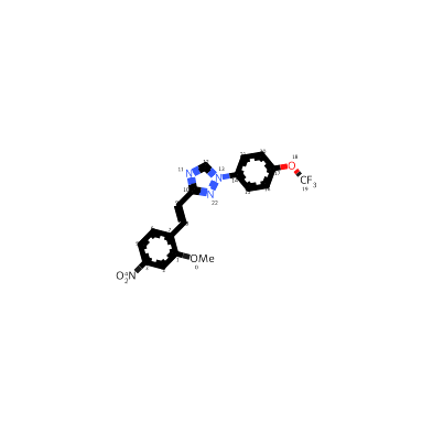 COc1cc([N+](=O)[O-])ccc1C=Cc1ncn(-c2ccc(OC(F)(F)F)cc2)n1